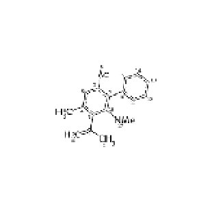 C=C(C)c1c(C)cc(C(C)=O)c(-c2ccccc2)c1NC